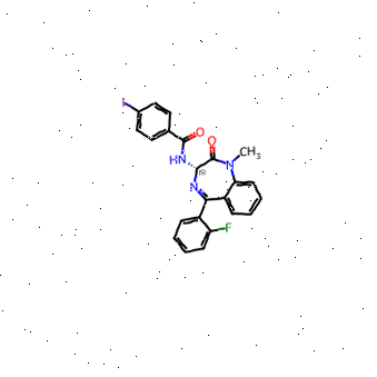 CN1C(=O)[C@@H](NC(=O)c2ccc(I)cc2)N=C(c2ccccc2F)c2ccccc21